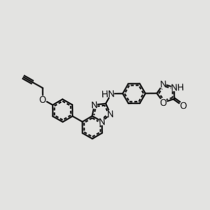 C#CCOc1ccc(-c2cccn3nc(Nc4ccc(-c5n[nH]c(=O)o5)cc4)nc23)cc1